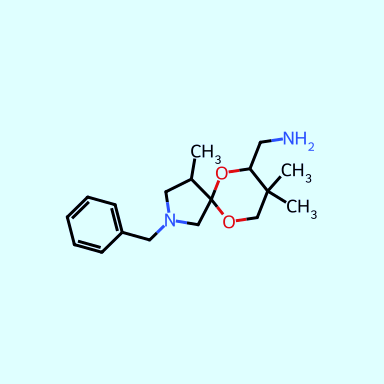 CC1CN(Cc2ccccc2)CC12OCC(C)(C)C(CN)O2